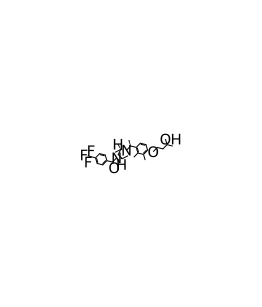 Cc1c(OCCC(C)O)ccc([C@H](C)N2C[C@H]3C[C@@H]2CN3C(=O)c2ccc(C(F)(F)F)cc2)c1C